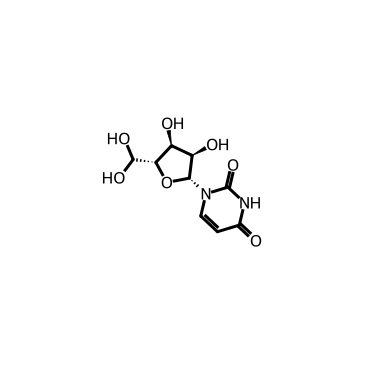 O=c1ccn([C@@H]2O[C@H](C(O)O)[C@@H](O)[C@H]2O)c(=O)[nH]1